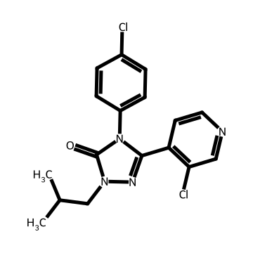 CC(C)Cn1nc(-c2ccncc2Cl)n(-c2ccc(Cl)cc2)c1=O